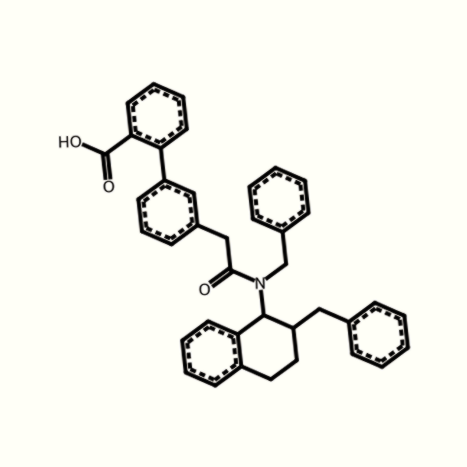 O=C(O)c1ccccc1-c1cccc(CC(=O)N(Cc2ccccc2)C2c3ccccc3CCC2Cc2ccccc2)c1